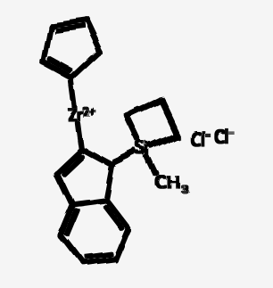 C[Si]1(C2[C]([Zr+2][C]3=CC=CC3)=Cc3ccccc32)CCC1.[Cl-].[Cl-]